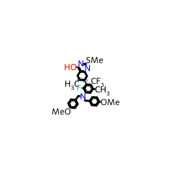 COc1ccc(CN(Cc2ccc(OC)cc2)c2cc(C)c(C(F)(F)F)c([C@@H]3Cc4nc(SC)nc(O)c4C[C@H]3C)c2F)cc1